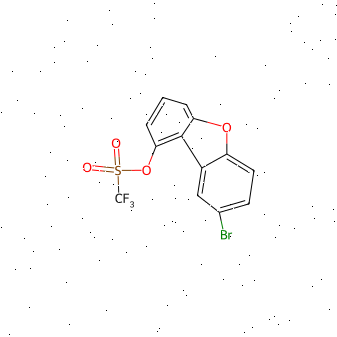 O=S(=O)(Oc1cccc2oc3ccc(Br)cc3c12)C(F)(F)F